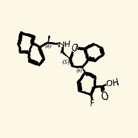 C[C@@H](NC[C@@H]1C[C@H](c2ccc(F)c(C(=O)O)c2)c2ccccc2O1)c1cccc2ccccc12